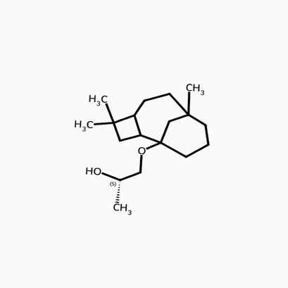 C[C@H](O)COC12CCCC(C)(CCC3C1CC3(C)C)C2